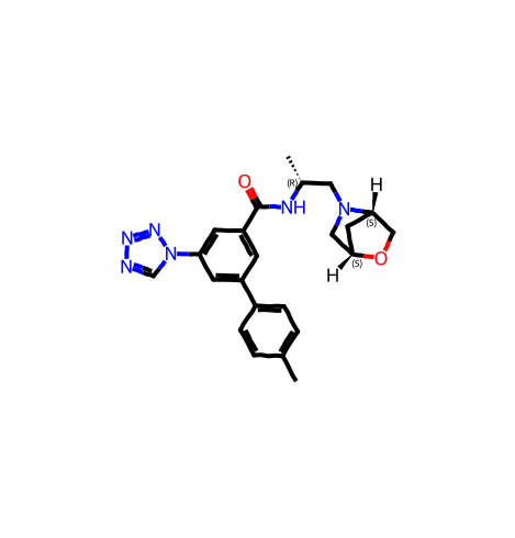 Cc1ccc(-c2cc(C(=O)N[C@H](C)CN3C[C@@H]4C[C@H]3CO4)cc(-n3cnnn3)c2)cc1